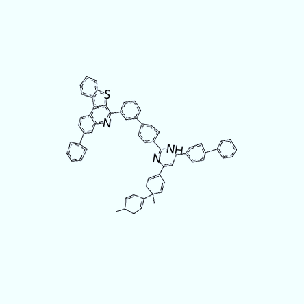 CC1C=CC(C2(C)C=CC(C3=CC(c4ccc(-c5ccccc5)cc4)NC(c4ccc(-c5cccc(-c6nc7cc(-c8ccccc8)ccc7c7c6sc6ccccc67)c5)cc4)=N3)=CC2)=CC1